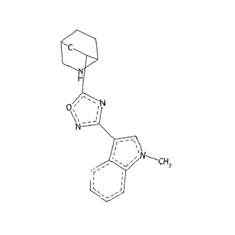 Cn1cc(-c2noc(C3CC4CCC3NC4)n2)c2ccccc21